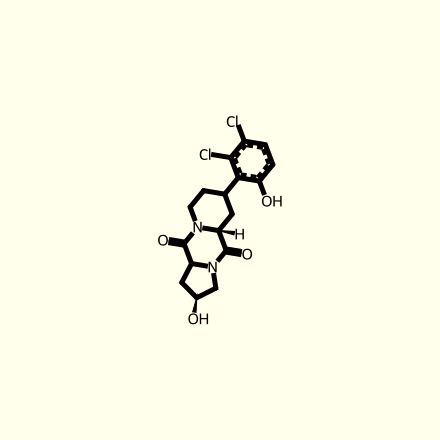 O=C1[C@H]2CC(c3c(O)ccc(Cl)c3Cl)CCN2C(=O)C2C[C@H](O)CN12